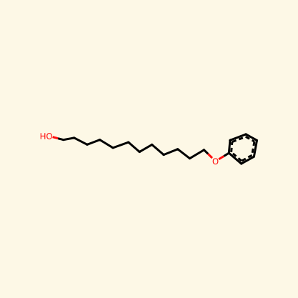 OCCCCCCCCCCCCOc1ccccc1